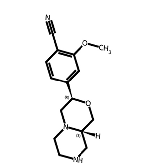 COc1cc([C@@H]2CN3CCNC[C@H]3CO2)ccc1C#N